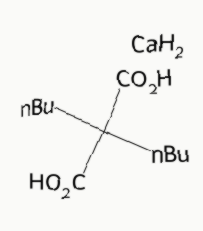 CCCCC(CCCC)(C(=O)O)C(=O)O.[CaH2]